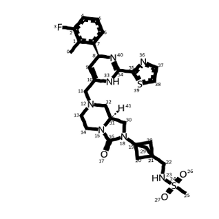 Cc1c(F)cccc1[C@@H]1C=C(CN2CCN3C(=O)N(C45CC(CNS(C)(=O)=O)(C4)C5)C[C@@H]3C2)NC(c2nccs2)=N1